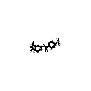 CC(C)=C1C[C@H](OC(=O)c2ccc([N+](=O)[O-])cc2)CC[C@]1(C)C(C)C